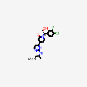 CNCC(C)Nc1nccc(-c2ccn([C@H](CO)c3ccc(Cl)c(F)c3)c(=O)c2)n1